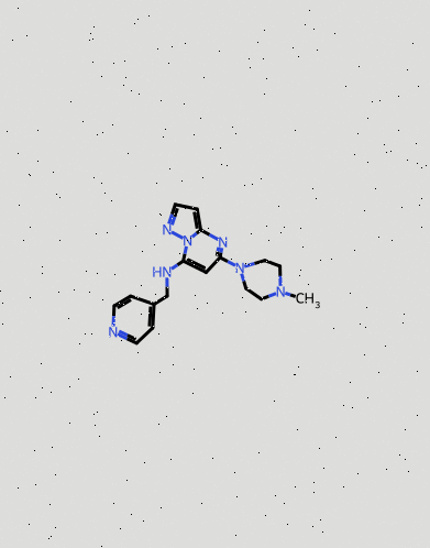 CN1CCN(c2cc(NCc3ccncc3)n3nccc3n2)CC1